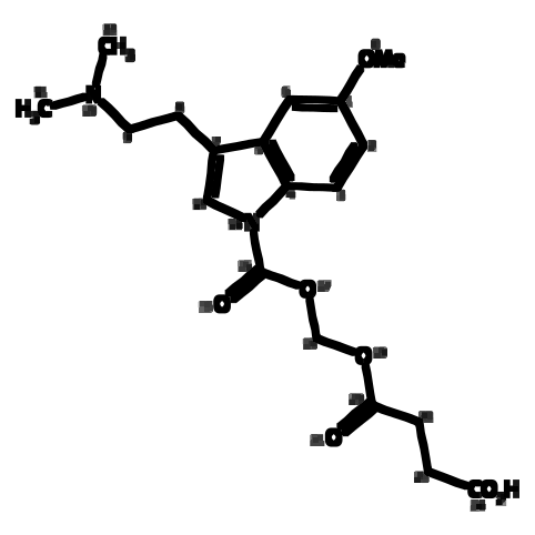 COc1ccc2c(c1)c(CCN(C)C)cn2C(=O)OCOC(=O)CCC(=O)O